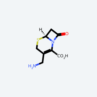 NCC1=C(C(=O)O)N2C(=O)C[C@@H]2SC1